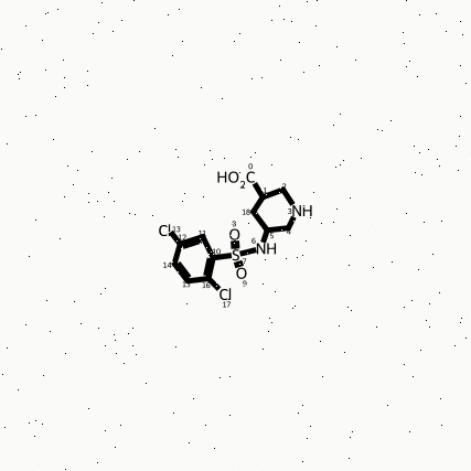 O=C(O)C1CNCC(NS(=O)(=O)c2cc(Cl)ccc2Cl)C1